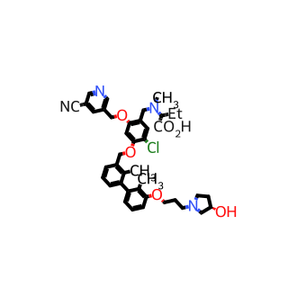 CCC(C(=O)O)N(C)Cc1cc(Cl)c(OCc2cccc(-c3cccc(OCCCN4CC[C@@H](O)C4)c3C)c2C)cc1OCc1cncc(C#N)c1